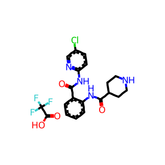 O=C(Nc1ccc(Cl)cn1)c1ccccc1NC(=O)C1CCNCC1.O=C(O)C(F)(F)F